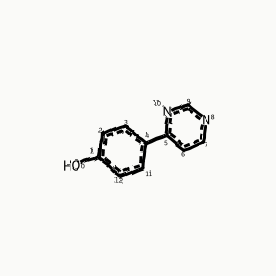 Oc1ccc(-c2ccncn2)cc1